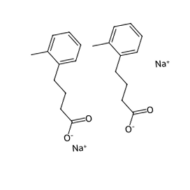 Cc1ccccc1CCCC(=O)[O-].Cc1ccccc1CCCC(=O)[O-].[Na+].[Na+]